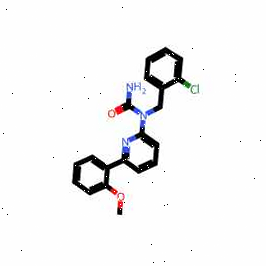 COc1ccccc1-c1cccc(N(Cc2ccccc2Cl)C(N)=O)n1